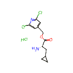 Cl.N[C@@H](CC1CC1)C(=O)OCc1cc(Cl)nc(Cl)c1